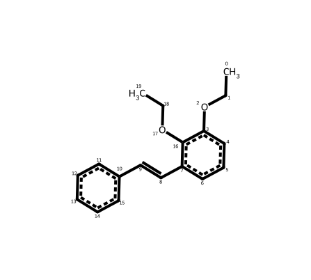 CCOc1cccc(C=Cc2ccccc2)c1OCC